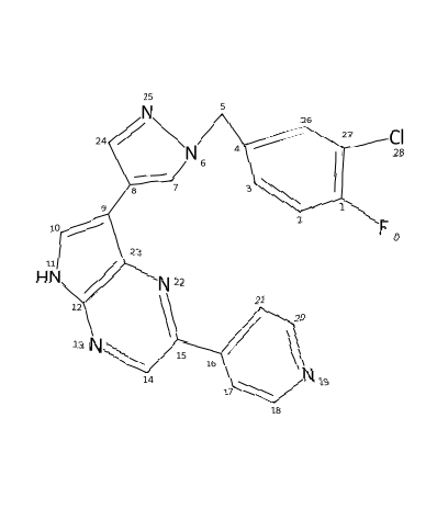 Fc1ccc(Cn2cc(-c3c[nH]c4ncc(-c5ccncc5)nc34)cn2)cc1Cl